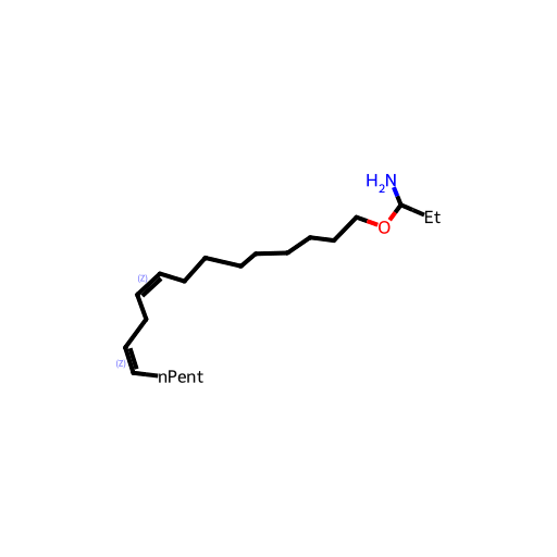 CCCCC/C=C\C/C=C\CCCCCCCCOC(N)CC